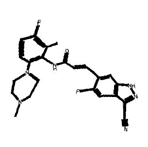 Cc1c(F)ccc(N2CCN(C)CC2)c1NC(=O)/C=C/c1cc2[nH]nc(C#N)c2cc1F